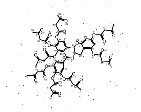 CC(=O)CC(=O)Oc1cc(OC(=O)CC(C)=O)c2c(c1)O[C@H](c1cc(OC(=O)CC(C)=O)c(OC(=O)CC(C)=O)c(OC(=O)CC(C)=O)c1)[C@H](OC(=O)c1cc(OC(=O)CC(C)=O)c(OC(=O)CC(C)=O)c(OC(=O)CC(C)=O)c1)C2